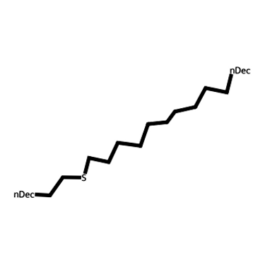 CCCCCCCCCCCCCCCCCCCCSCCCCCCCCCCCC